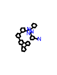 N#Cc1cccc(-c2nc(-c3ccccc3)nc(-c3cccc(-c4cccc(-c5ccc6c7ccccc7c7ccccc7c6c5)c4)c3)n2)c1